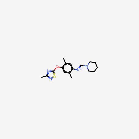 Cc1nsc(Oc2cc(C)c(/N=C/N3CCCCC3)cc2C)n1